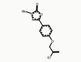 C=C(CC)COc1ccc(-c2nn(C(C)(C)C)c(=O)o2)cc1